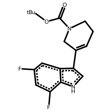 CC(C)(C)OC(=O)N1CCC=C(c2c[nH]c3c(F)cc(F)cc23)C1